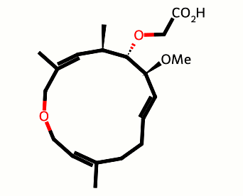 CO[C@H]1/C=C/CC/C(C)=C\COC/C(C)=C\[C@@H](C)[C@@H]1OCC(=O)O